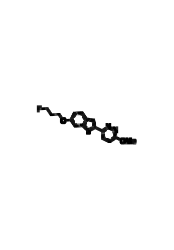 COc1ccc(-c2cc3ccc(OCCCF)cc3s2)nn1